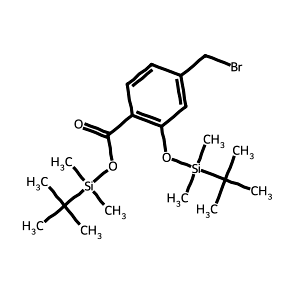 CC(C)(C)[Si](C)(C)OC(=O)c1ccc(CBr)cc1O[Si](C)(C)C(C)(C)C